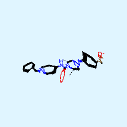 C[C@@H]1CN(c2ccc([S+](C)[O-])cc2)C[C@H](C)N1C(=O)NC1CCN(Cc2ccccc2)CC1